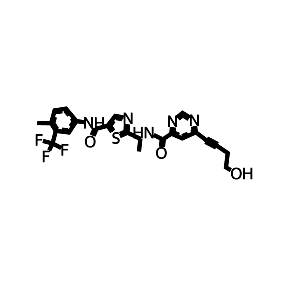 Cc1ccc(NC(=O)c2cnc(C(C)NC(=O)c3cc(C#CCCO)ncn3)s2)cc1C(F)(F)F